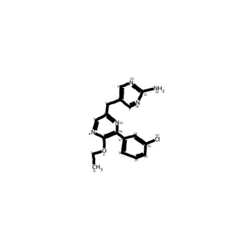 CCOc1ncc(Cc2cnc(N)nc2)nc1-c1cccc(Cl)c1